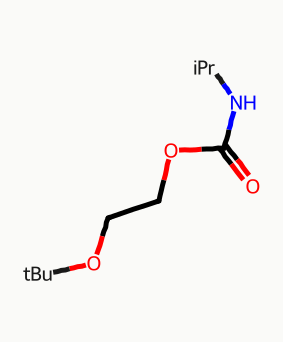 CC(C)NC(=O)OCCOC(C)(C)C